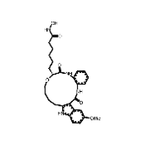 COc1ccc2[nH]c3c(c2c1)C(=O)Nc1ccccc1NC(=O)[C@H](CCCCCC(=O)NO)OCCCC3